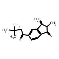 C=C1c2cc(C(=S)CC(C)(C)C)ccc2C(=S)C1C